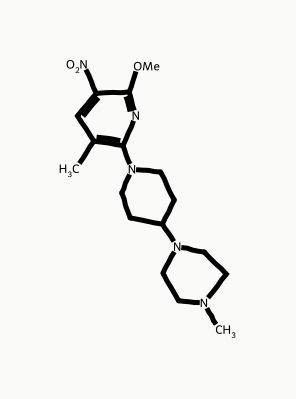 COc1nc(N2CCC(N3CCN(C)CC3)CC2)c(C)cc1[N+](=O)[O-]